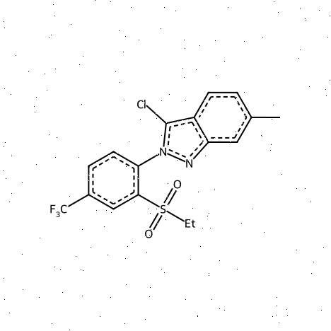 CCS(=O)(=O)c1cc(C(F)(F)F)ccc1-n1nc2cc(C)ccc2c1Cl